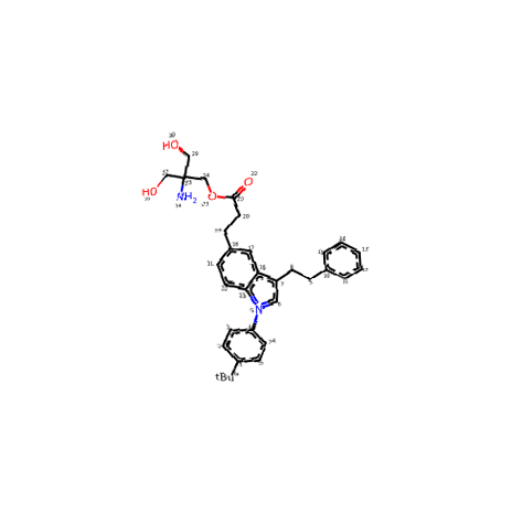 CC(C)(C)c1ccc(-n2cc(CCc3ccccc3)c3cc(CCC(=O)OCC(N)(CO)CO)ccc32)cc1